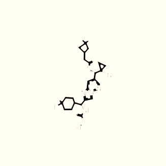 CC(C)(C)OC(=O)N[C@H](c1cn2ncc([C@@H](NC(=O)CC3CC(F)(F)C3)C3(C#N)CC3)cc2n1)C1CCC(F)(F)CC1